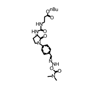 CCCCOC(=O)CCNC(=O)N[C@H]1CCN(c2ccc(C=NNOC(=O)N(C)C)cc2)C1=O